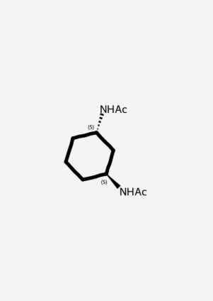 CC(=O)N[C@H]1CCC[C@H](NC(C)=O)C1